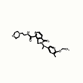 Cc1cc(C(C)N2Cc3c(ccnc3C(=O)NCCN3CCOCC3)C2=O)cnc1OCC(F)(F)F